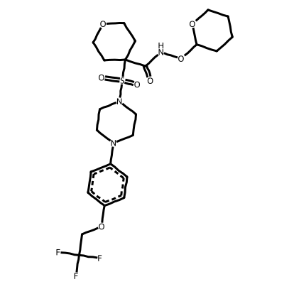 O=C(NOC1CCCCO1)C1(S(=O)(=O)N2CCN(c3ccc(OCC(F)(F)F)cc3)CC2)CCOCC1